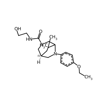 CCOc1ccc(N2C[C@H]3CN(C(=O)NCCO)CC2C(C)(C)C3)cc1